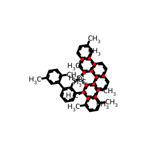 Cc1ccc(C)c(-c2cccc(-c3cc(C)ccc3C)c2[S][Bi]([S]c2c(-c3cc(C)ccc3C)cccc2-c2cc(C)ccc2C)[S]c2c(-c3cc(C)ccc3C)cccc2-c2cc(C)ccc2C)c1